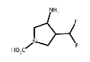 NC1CN(C(=O)O)CC1C(F)F